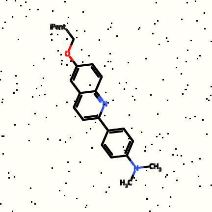 CCCC(C)COc1ccc2nc(-c3ccc(N(C)C)cc3)ccc2c1